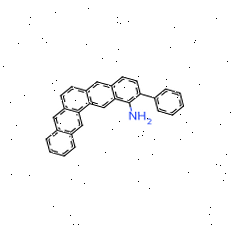 Nc1c(-c2ccccc2)ccc2cc3ccc4cc5ccccc5cc4c3cc12